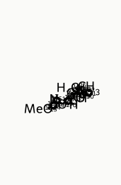 [2H]c1cc(Oc2ccnc3cc(OC)ccc23)ccc1NC(=O)c1c(C)n(C)n(-c2ccccc2)c1=O